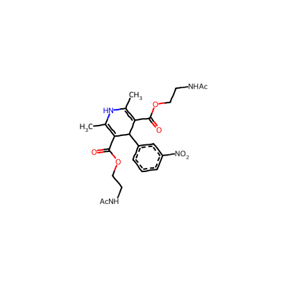 CC(=O)NCCOC(=O)C1=C(C)NC(C)=C(C(=O)OCCNC(C)=O)C1c1cccc([N+](=O)[O-])c1